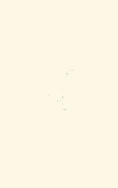 COc1ccc(C2CCc3cc(O)ccc3C2)c(N(C)Cc2ccc(OCCN3CCCC(C)(C)C3)cc2)c1